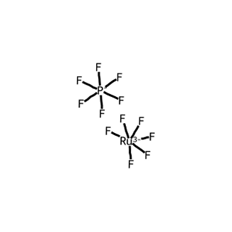 F[P-](F)(F)(F)(F)F.[F][Ru-3]([F])([F])([F])([F])[F]